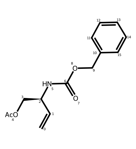 C=C[C@@H](COC(C)=O)NC(=O)OCc1ccccc1